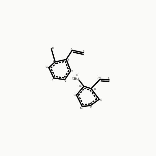 C=Cc1ccccc1C.C=Cc1ccccc1C(C)(C)C